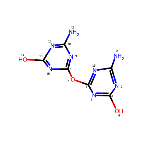 Nc1nc(O)nc(Oc2nc(N)nc(O)n2)n1